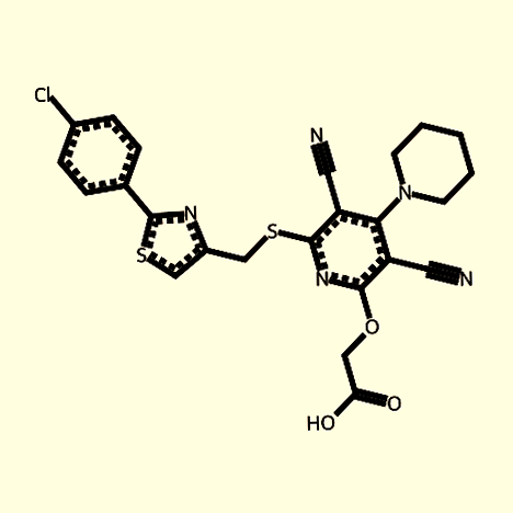 N#Cc1c(OCC(=O)O)nc(SCc2csc(-c3ccc(Cl)cc3)n2)c(C#N)c1N1CCCCC1